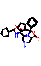 O=C(NC(=O)C1CNCC2C(=O)OC(c3ccccc3)(c3ccccc3)N12)c1ccccc1